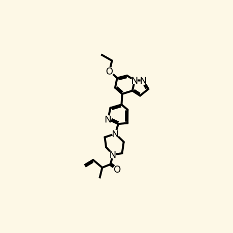 C=CC(C)C(=O)N1CCN(c2ccc(-c3cc(OCC)cn4nccc34)cn2)CC1